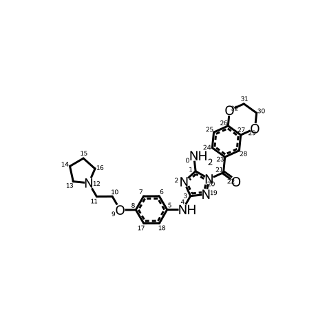 Nc1nc(Nc2ccc(OCCN3CCCC3)cc2)nn1C(=O)c1ccc2c(c1)OCCO2